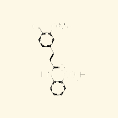 COc1cc(/C=C/C(=O)Nc2ccccc2C(=O)O)ccc1Cl